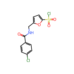 O=C(NCc1ccc(S(=O)(=O)Cl)o1)c1ccc(Cl)cc1